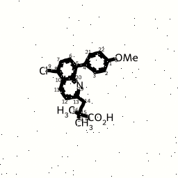 COc1ccc(-c2ccc(Cl)c3ccc(CC(C)(C)C(=O)O)nc23)cc1